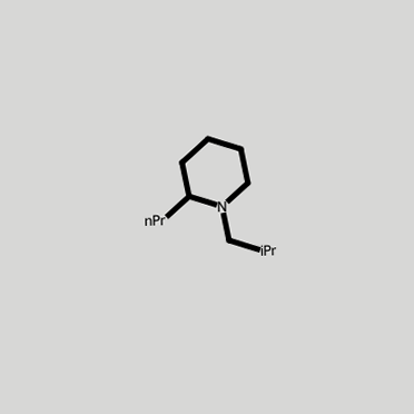 CCCC1CCCCN1CC(C)C